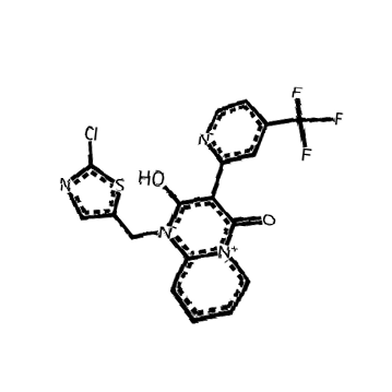 O=c1c(-c2cc(C(F)(F)F)ccn2)c(O)n(Cc2cnc(Cl)s2)c2cccc[n+]12